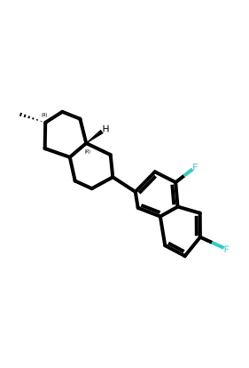 C[C@@H]1CC[C@@H]2CC(c3cc(F)c4cc(F)ccc4c3)CCC2C1